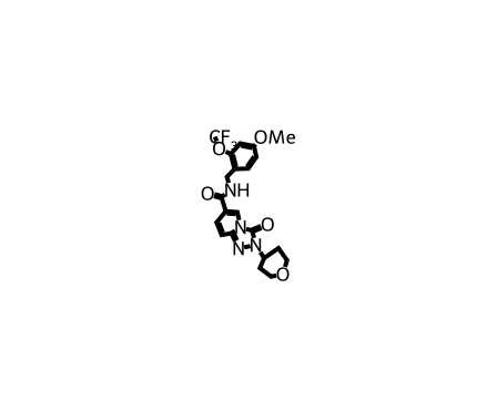 COc1ccc(CNC(=O)c2ccc3nn(C4CCOCC4)c(=O)n3c2)c(OC(F)(F)F)c1